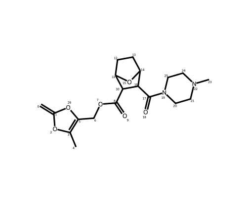 C=C1OC(C)=C(COC(=O)C2C3CCC(O3)C2C(=O)N2CCN(C)CC2)O1